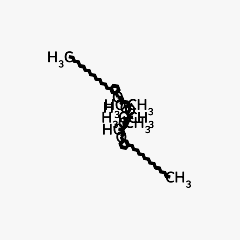 CCCC/C=C/CCCCCCCCCc1cccc(OCC(O)COC(C)(C)C(C)COC(C)(C)CC(O)COc2cccc(CCCCCCCCC/C=C/CCCC)c2)c1